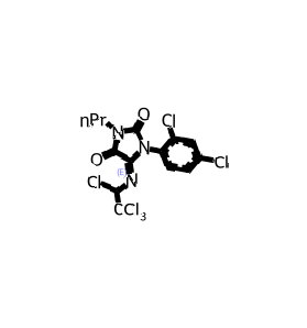 CCCN1C(=O)/C(=N\C(Cl)C(Cl)(Cl)Cl)N(c2ccc(Cl)cc2Cl)C1=O